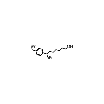 CCCC(CCCCCCO)c1ccc(CC(C)C)cc1